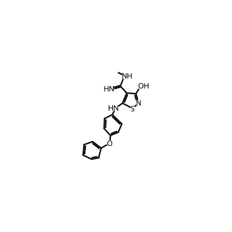 CNC(=N)c1c(O)nsc1Nc1ccc(Oc2ccccc2)cc1